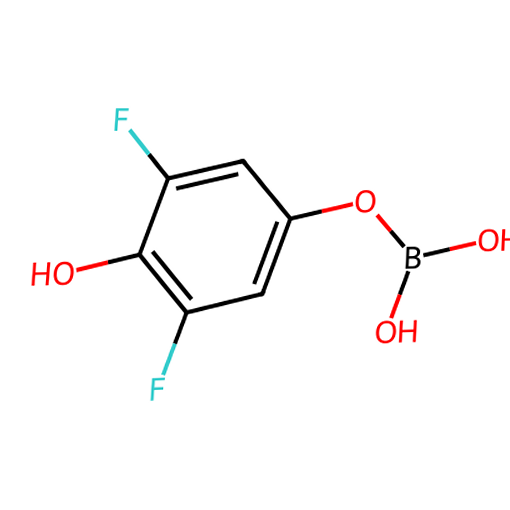 OB(O)Oc1cc(F)c(O)c(F)c1